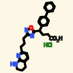 Cl.O=C(O)CCC(c1ccc(-c2ccccc2)cc1)c1nc(CCCc2ccc3c(n2)NCCC3)no1